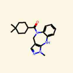 Cn1ncc2c1Nc1ccccc1N(C(=O)C1CCC(C)(C)CC1)C2